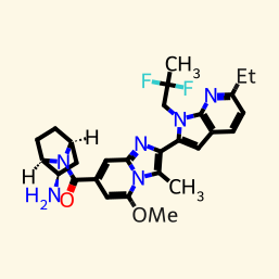 CCc1ccc2cc(-c3nc4cc(C(=O)N5[C@H]6CC[C@@H]5[C@H](N)C6)cc(OC)n4c3C)n(CC(C)(F)F)c2n1